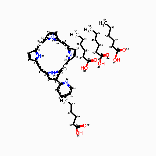 C1=Cc2cc3cc(-c4ccccn4)c(cc4nc(cc5ccc(cc1n2)[nH]5)C=C4)[nH]3.CCCCCC(=O)O.CCCCCC(=O)O.CCCCCC(=O)O.CCCCCC(=O)O